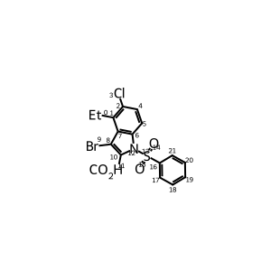 CCc1c(Cl)ccc2c1c(Br)c(C(=O)O)n2S(=O)(=O)c1ccccc1